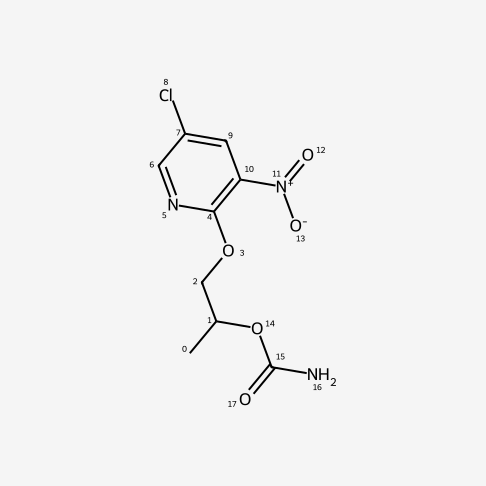 CC(COc1ncc(Cl)cc1[N+](=O)[O-])OC(N)=O